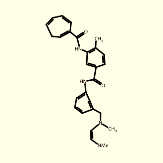 CN/C=C\N(C)Cc1cccc(NC(=O)c2ccc(C)c(NC(=O)C3=CCC=CC=C3)c2)c1